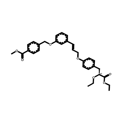 CCOC(=O)[C@H](Cc1ccc(OCC=Cc2cccc(OCc3ccc(C(=O)OC)cc3)c2)cc1)OCC